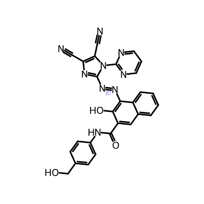 N#Cc1nc(/N=N/c2c(O)c(C(=O)Nc3ccc(CO)cc3)cc3ccccc23)n(-c2ncccn2)c1C#N